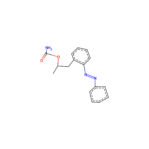 CC(Cc1ccccc1N=Nc1ccccc1)OC(N)=O